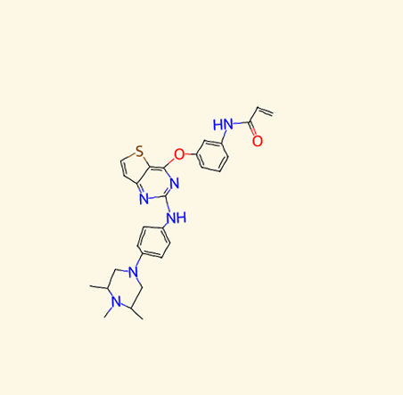 C=CC(=O)Nc1cccc(Oc2nc(Nc3ccc(N4CC(C)N(C)C(C)C4)cc3)nc3ccsc23)c1